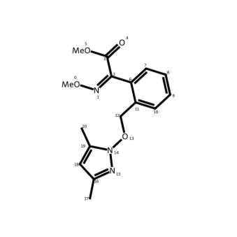 CON=C(C(=O)OC)c1ccccc1COn1nc(C)cc1C